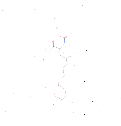 CC(C)(C)OC(=O)NC(CC(CCCOC1CCCCO1)C(=O)O)C(=O)OC(C)(C)C